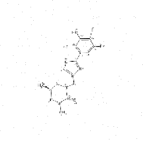 CC1O[C@@H](C)CN(Cc2noc(-c3cc(F)c(F)c(O)c3F)n2)C1=O